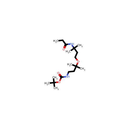 CCC(=O)NC(C)(C)CCOC(C)(C)CCNC(=O)OC(C)(C)C